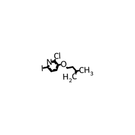 C=C(C)CCOc1ccc(I)nc1Cl